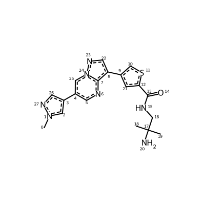 Cn1cc(-c2cnc3c(-c4csc(C(=O)NCC(C)(C)N)c4)cnn3c2)cn1